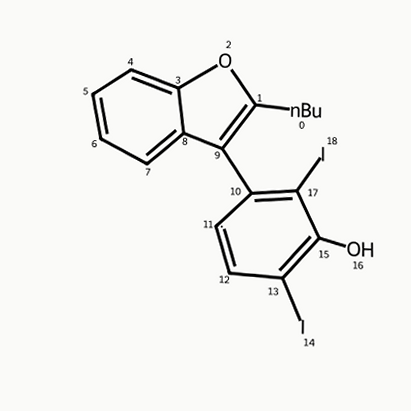 CCCCc1oc2ccccc2c1-c1[c]cc(I)c(O)c1I